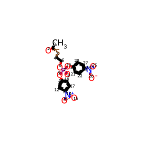 CC(=O)SCCOP(=O)(Oc1ccc([N+](=O)[O-])cc1)Oc1ccc([N+](=O)[O-])cc1